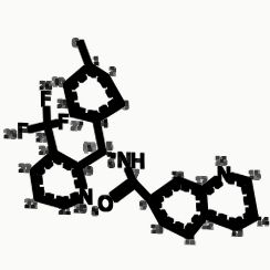 Cc1ccc([C@H](NC(=O)c2ccc3cccnc3c2)c2ncccc2C(F)(F)F)cc1